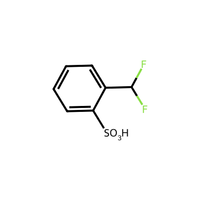 O=S(=O)(O)c1ccccc1C(F)F